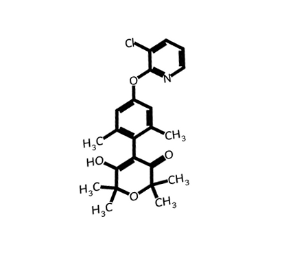 Cc1cc(Oc2ncccc2Cl)cc(C)c1C1=C(O)C(C)(C)OC(C)(C)C1=O